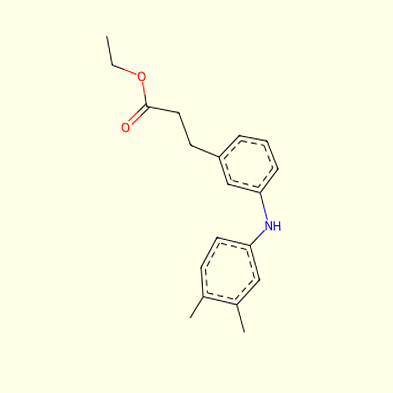 CCOC(=O)CCc1cccc(Nc2ccc(C)c(C)c2)c1